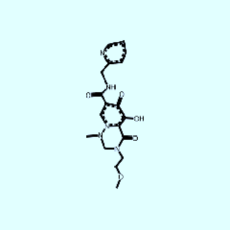 COCCN1CN(C)n2cc(C(=O)NCc3ccccn3)c(=O)c(O)c2C1=O